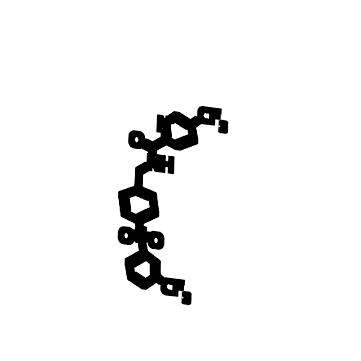 O=C(NCc1ccc(S(=O)(=O)c2cccc(C(F)(F)F)c2)cc1)c1ccc(C(F)(F)F)cn1